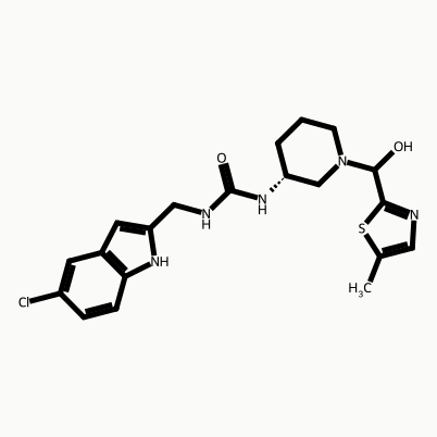 Cc1cnc(C(O)N2CCC[C@@H](NC(=O)NCc3cc4cc(Cl)ccc4[nH]3)C2)s1